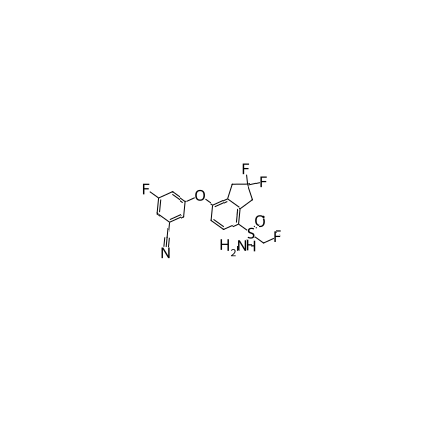 N#Cc1cc(F)cc(Oc2ccc([SH](N)(=O)CF)c3c2CC(F)(F)C3)c1